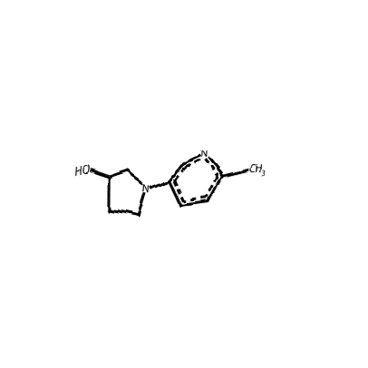 Cc1ccc(N2CCC(O)C2)cn1